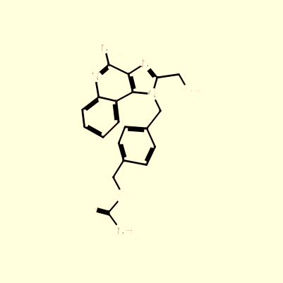 NC(=O)OCc1ccc(Cn2c(CO)nc3c(N)nc4ccccc4c32)cc1